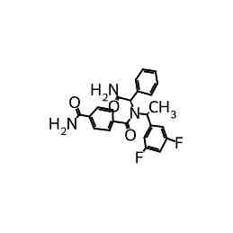 C[C@H](c1cc(F)cc(F)c1)N(C(=O)c1ccc(C(N)=O)cc1)[C@@H](C(N)=O)c1ccccc1